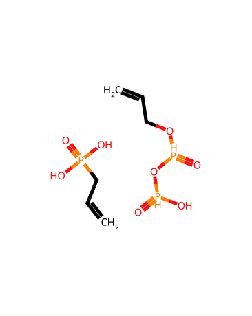 C=CCO[PH](=O)O[PH](=O)O.C=CCP(=O)(O)O